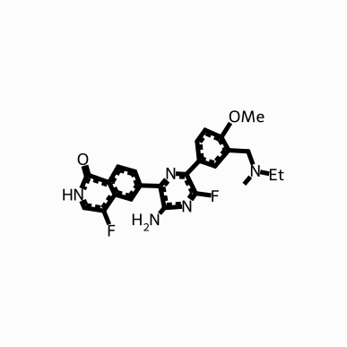 CCN(C)Cc1cc(-c2nc(-c3ccc4c(=O)[nH]cc(F)c4c3)c(N)nc2F)ccc1OC